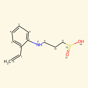 C=Cc1ccccc1NCCCS(=O)O